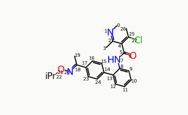 C/N=C(C)\C(C(=O)Nc1ccccc1-c1ccc(/C(C)=N/OC(C)C)cc1)=C(/C)Cl